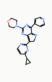 c1cc(-c2nc(N3CCOCC3)nc3c2=NCC=3c2nccc(C3CC3)n2)ccn1